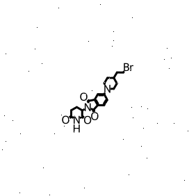 O=C1CCC(N2C(=O)c3ccc(N4CCC(CCBr)CC4)cc3C2=O)C(=O)N1